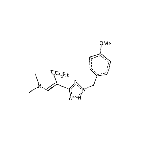 CCOC(=O)C(=CN(C)C)c1nnn(Cc2ccc(OC)cc2)n1